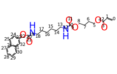 C=CC(=O)OCCCCOC(=O)NCCCCCCNC(=O)Oc1ccc2ccccc2c1